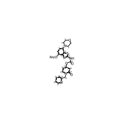 COc1ccc(N2CCOCC2)c2sc(NC(=O)Oc3ccn(Cc4ccccn4)c(=O)c3)nc12